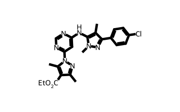 CCOC(=O)c1c(C)nn(-c2cc(Nc3c(C)c(-c4ccc(Cl)cc4)nn3C)ncn2)c1C